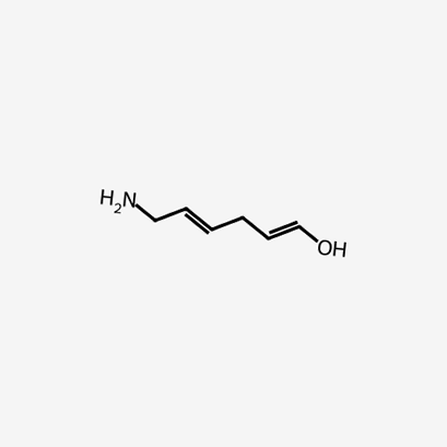 NCC=CCC=CO